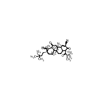 CC1[C@]2(CCC(C)(C)C)CC[C@@]3(C)[C@]4(C)CCC5[C@](C)(C(=O)N(C)C)C(=O)C(C#N)=C[C@]5(C)C4=CC(=O)[C@]13OC2=O